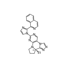 CC[C@@]12CCCN1c1nc(-n3ccnc3-c3nccc4ccccc34)ncc1-n1cnnc12